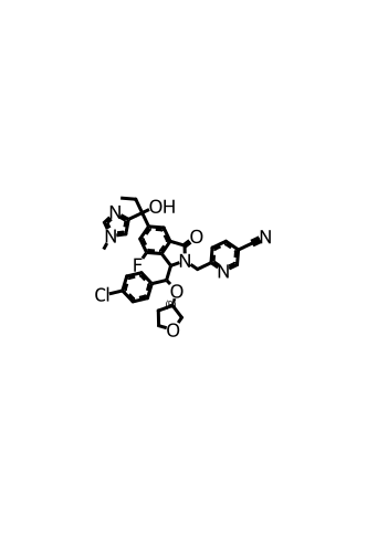 CCC(O)(c1cc(F)c2c(c1)C(=O)N(Cc1ccc(C#N)cn1)C2C(O[C@@H]1CCOC1)c1ccc(Cl)cc1)c1cn(C)cn1